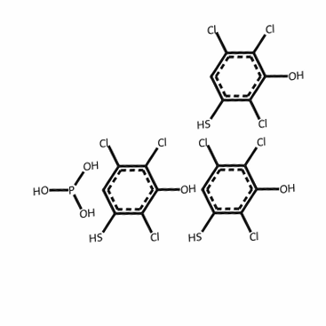 OP(O)O.Oc1c(Cl)c(S)cc(Cl)c1Cl.Oc1c(Cl)c(S)cc(Cl)c1Cl.Oc1c(Cl)c(S)cc(Cl)c1Cl